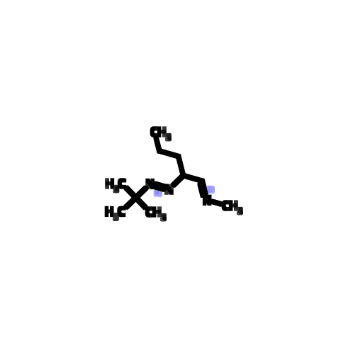 CCCC(/C=N/C)/N=N/C(C)(C)C